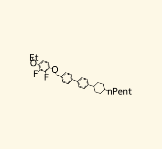 CCCCCC1CCC(c2ccc(-c3ccc(COc4ccc(OCC)c(F)c4F)cc3)cc2)CC1